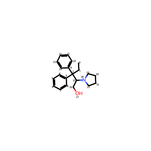 CCC(c1ccccc1)(c1ccccc1)C(CO)N1CCCC1